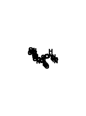 Cn1c(CN(c2cnc3cc(N4CCOCC4)nc(OC4CCC(Nc5ccn6nccc6n5)CC4)c3c2)S(C)(=O)=O)cnc1[N+](=O)[O-]